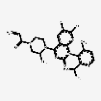 C=CC(=O)N1CCN(c2nc(=O)n(-c3c(C)ccnc3C(C)C)c3nc(Cl)c(F)cc23)C(C)C1